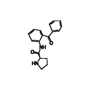 O=C(c1ccccc1)c1ccccc1NC(=O)[C@H]1CCCN1